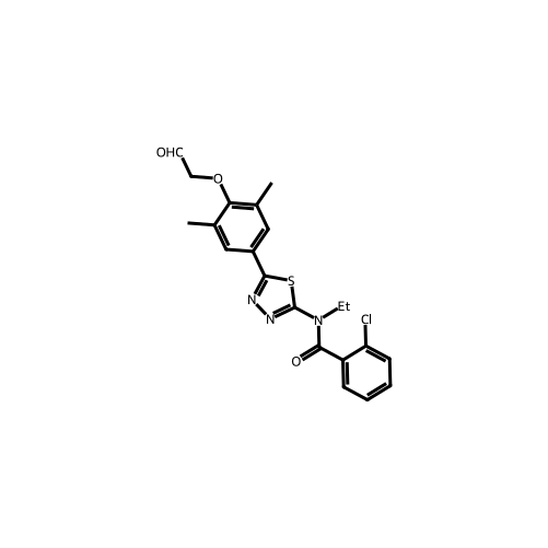 CCN(C(=O)c1ccccc1Cl)c1nnc(-c2cc(C)c(OCC=O)c(C)c2)s1